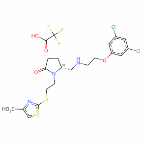 O=C(O)C(F)(F)F.O=C(O)c1csc(SCCN2C(=O)CC[C@@H]2CNCCOc2cc(Cl)cc(Cl)c2)n1